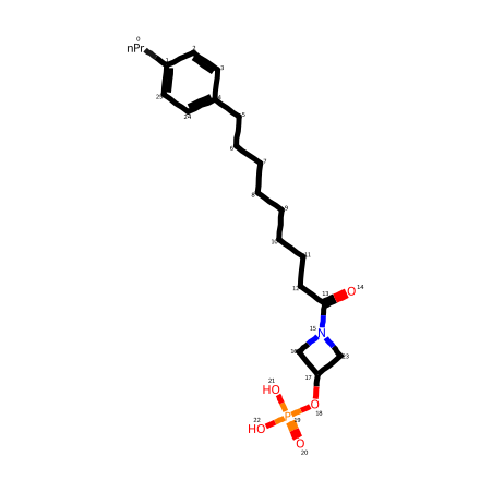 CCCc1ccc(CCCCCCCCC(=O)N2CC(OP(=O)(O)O)C2)cc1